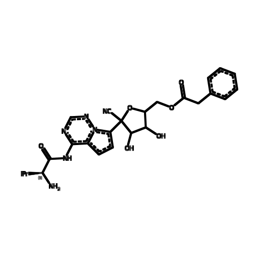 CC(C)[C@H](N)C(=O)Nc1ncnn2c(C3(C#N)OC(COC(=O)Cc4ccccc4)C(O)C3O)ccc12